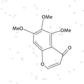 COc1cc2occc(=O)c2c(OC)c1OC